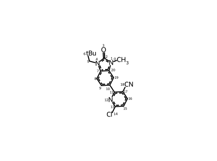 Cn1c(=O)n(CC(C)(C)C)c2ccc(-c3nc(Cl)ccc3C#N)cc21